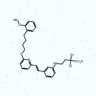 CCCCOc1ccccc1CCCCOc1cccc(C=Cc2cccc(NCCC(CC)(CC)C(=O)O)c2)n1